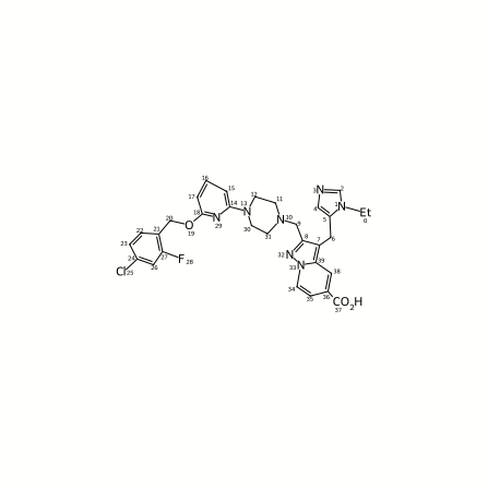 CCn1cncc1Cc1c(CN2CCN(c3cccc(OCc4ccc(Cl)cc4F)n3)CC2)nn2ccc(C(=O)O)cc12